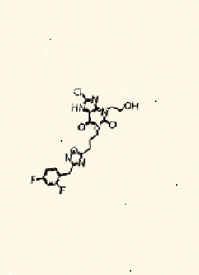 O=c1c2[nH]c(Cl)nc2n(CCO)c(=O)n1CCCc1nc(Cc2ccc(F)cc2F)no1